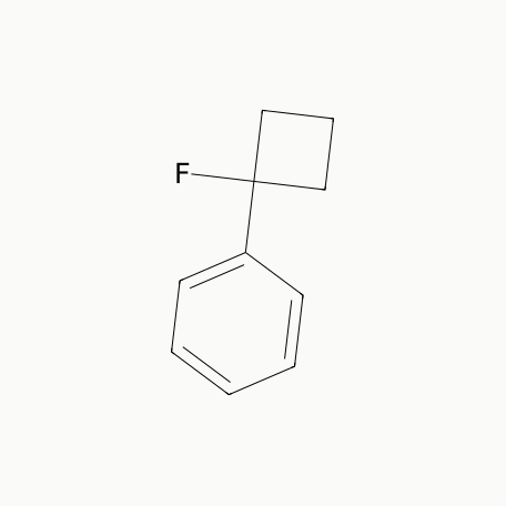 FC1(c2ccccc2)CCC1